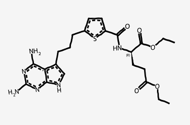 CCOC(=O)CC[C@@H](NC(=O)c1ccc(CCCc2c[nH]c3nc(N)nc(N)c23)s1)C(=O)OCC